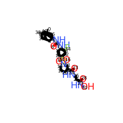 C[C@]12CC3CC(NC(=O)Nc4ccc(S(=O)(=O)N5CCC[C@H](C(=O)NCCC(=O)NO)C5)cc4F)(C1)C[C@@](C)(C3)C2